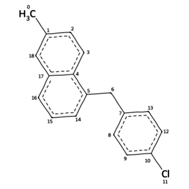 Cc1ccc2c(Cc3ccc(Cl)cc3)cccc2c1